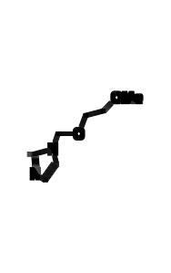 COCCOCn1[c]ncc1